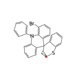 Brc1cccc2c1N(c1ccccc1)c1ccccc1C21c2ccccc2Sc2ccccc21